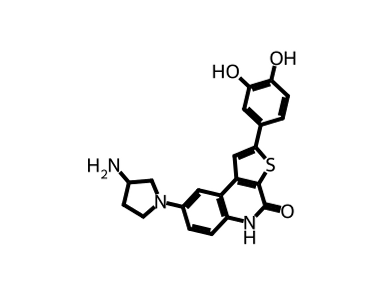 NC1CCN(c2ccc3[nH]c(=O)c4sc(-c5ccc(O)c(O)c5)cc4c3c2)C1